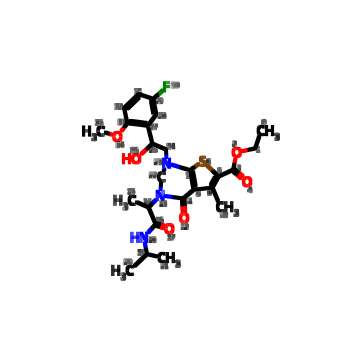 CCOC(=O)c1sc2c(c1C)C(=O)N(C(C)C(=O)NC(C)C)CN2CC(O)c1cc(F)ccc1OC